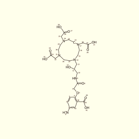 Nc1ccc(OCC(=O)NCC(O)CN2CCN(CC(=O)O)CCN(CC(=O)O)CCN(CC(=O)O)CC2)c(C(=O)O)c1